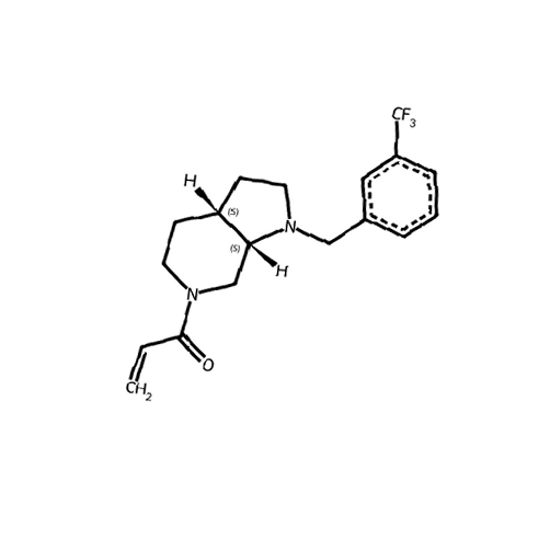 C=CC(=O)N1CC[C@@H]2CCN(Cc3cccc(C(F)(F)F)c3)[C@@H]2C1